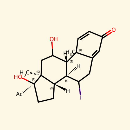 CC(=O)[C@@]1(O)CC[C@H]2[C@@H]3C(I)CC4=CC(=O)C=C[C@]4(C)[C@H]3C(O)C[C@@]21C